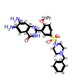 CCCOc1ccc(S(=O)(=O)N2CCN(Cc3ccccc3)CC2)cc1-c1nc2cc(N)c(N)cc2c(=O)[nH]1